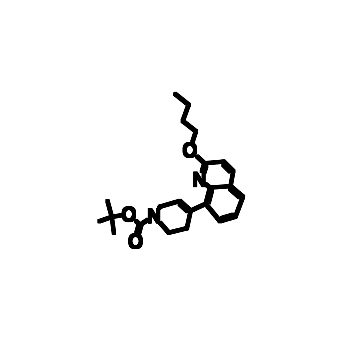 CCCCOc1ccc2cccc(C3=CCN(C(=O)OC(C)(C)C)CC3)c2n1